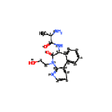 CC(N)C(=O)NC1C(=O)N(CCO)c2ncccc2-c2ccccc21